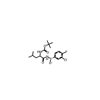 CC(C)CC(NC(=O)OC(C)(C)C)C(=O)N[S+]([O-])c1ccc(F)c(Cl)c1